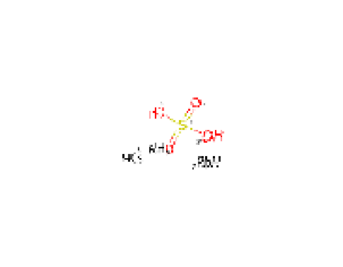 O=S(=O)(O)O.[AlH3].[CsH].[RbH]